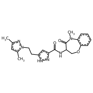 Cc1cc(C)n(CCc2cc(C(=O)NC3COc4ccccc4N(C)C3=O)n[nH]2)n1